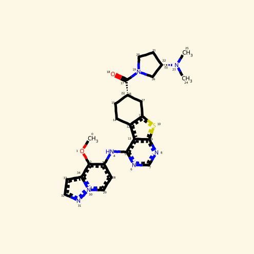 COc1c(Nc2ncnc3sc4c(c23)CC[C@H](C(=O)N2CC[C@H](N(C)C)C2)C4)ccn2nccc12